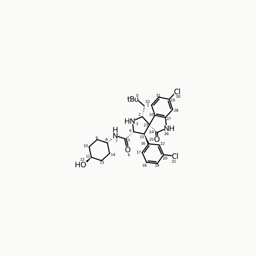 CC(C)(C)C[C@H]1N[C@@H](C(=O)N[C@H]2CC[C@H](O)CC2)[C@H](c2cccc(Cl)c2)[C@@]12C(=O)Nc1cc(Cl)ccc12